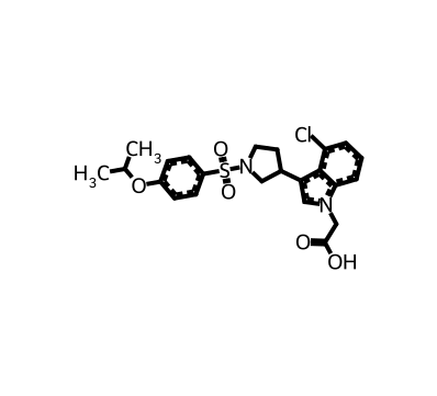 CC(C)Oc1ccc(S(=O)(=O)N2CCC(c3cn(CC(=O)O)c4cccc(Cl)c34)C2)cc1